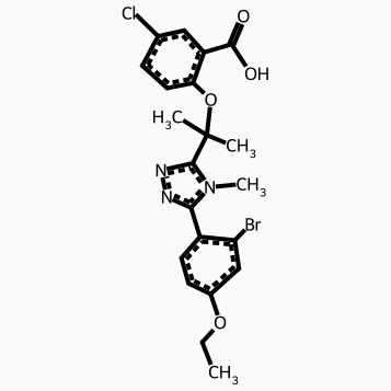 CCOc1ccc(-c2nnc(C(C)(C)Oc3ccc(Cl)cc3C(=O)O)n2C)c(Br)c1